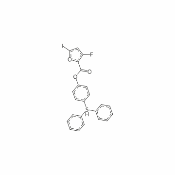 O=C(Oc1ccc([SH](c2ccccc2)c2ccccc2)cc1)c1oc(I)cc1F